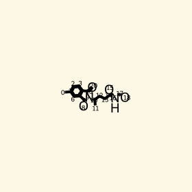 Cc1ccc2c(c1)C(=O)N(C(C)CCC(=O)NC=O)C2=O